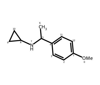 COc1ccc(C(C)NC2CC2)cc1